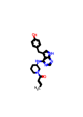 CC=CC(=O)N1CCC[C@@H](Nc2ncnc3[nH]cc(Cc4ccc(O)cc4)c23)C1